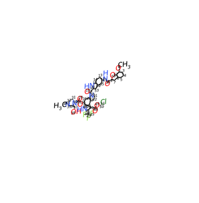 COc1cccc2cc(C(=O)Nc3ccc4[nH]c(C(=O)N5CCc6c5cc(OC(=O)N5CCN(C)CC5CO)c5[nH]c(C(F)(F)F)c(C(=O)OCCl)c65)cc4c3)oc12